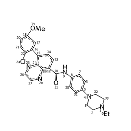 CCN1CCN(c2ccc(NC(=O)c3ccc(-c4cc(OC)ccc4Cl)c4nccnc34)cc2)CC1